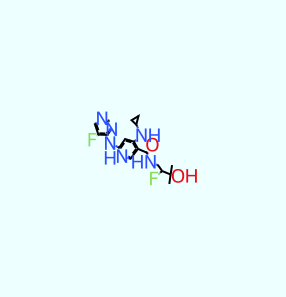 CC(C)(O)C(F)CNC(=O)c1cnc(Nc2ncncc2F)cc1NC1CC1